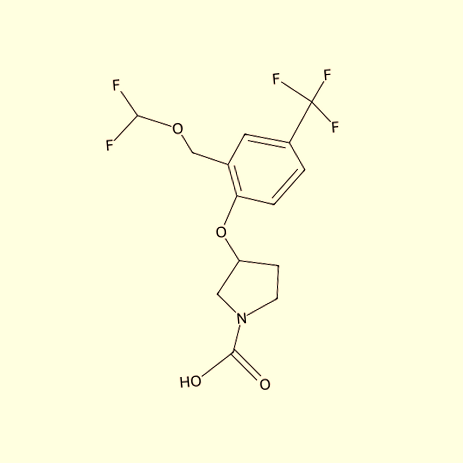 O=C(O)N1CCC(Oc2ccc(C(F)(F)F)cc2COC(F)F)C1